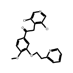 COc1ccc(C(=O)Cc2c(Cl)cncc2Cl)cc1OCCc1ccccn1